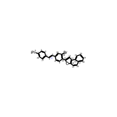 CC(C)c1ccc(/C=C/c2ccc(-c3cc4c(ccc5ccccc54)o3)c(Br)c2)cc1